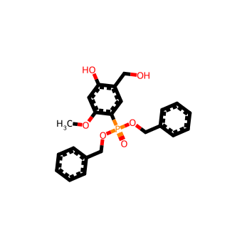 COc1cc(O)c(CO)cc1P(=O)(OCc1ccccc1)OCc1ccccc1